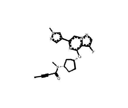 CC#CC(=O)N(C)[C@H]1CC[C@@H](Oc2nc(-c3cnn(C)c3)cn3ncc(F)c23)C1